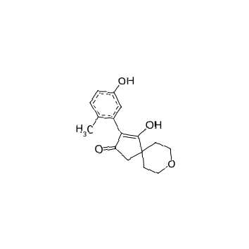 Cc1ccc(O)cc1C1=C(O)C2(CCOCC2)CC1=O